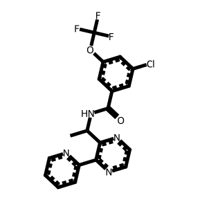 CC(NC(=O)c1cc(Cl)cc(OC(F)(F)F)c1)c1nccnc1-c1ccccn1